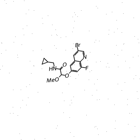 COC(Oc1cc(F)c2ncc(Br)cc2c1)C(=O)NCC1CC1